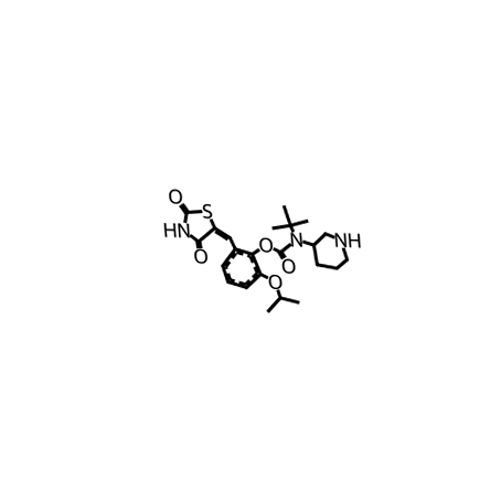 CC(C)Oc1cccc(C=C2SC(=O)NC2=O)c1OC(=O)N(C1CCCNC1)C(C)(C)C